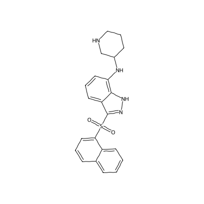 O=S(=O)(c1cccc2ccccc12)c1n[nH]c2c(NC3CCCNC3)cccc12